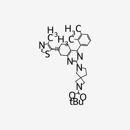 Cc1cccc(-c2nc(N3CCC4(CN(C(=O)OC(C)(C)C)C4)C3)nc3c2CC[C@H](c2scnc2C)C3)c1C